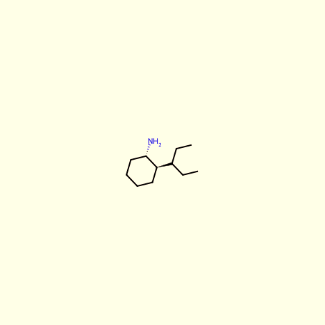 CCC(CC)[C@H]1CCCC[C@@H]1N